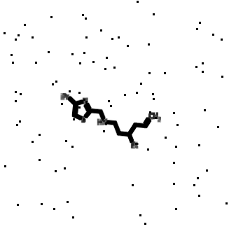 C=CCC(CC)CCNCc1nc(C(C)C)cs1